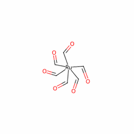 O=[CH][Ru]([CH]=O)([CH]=O)([CH]=O)([CH]=O)[CH]=O